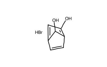 Br.OC1=C2C=CC(=C1)C2O